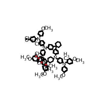 COc1ccc(N(c2ccc(N(c3ccc(N(c4ccc(OC)cc4)c4ccc(OC)cc4C)cc3)c3ccc(C4(c5ccc(N(c6ccc(N(c7ccc(OC)cc7)c7ccc(OC)cc7C)cc6)C6CCC(N(c7ccc(OC)cc7)c7ccc(OC)cc7C)CC6)cc5)CCCCC4)cc3)cc2)c2ccc(OC)cc2C)cc1